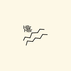 Br.Br.CCCCCCC.CCCCCCC